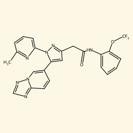 Cc1cccc(-n2nc(CC(=O)Nc3ccccc3OC(F)(F)F)cc2-c2ccc3ncnn3c2)n1